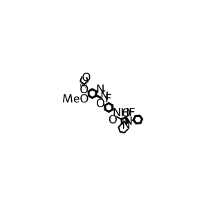 COc1cc2c(Oc3ccc(NC(=O)c4c5n(n(-c6ccccc6F)c4=O)CCCC5)cc3F)ncnc2cc1O[C@@H]1CCOC1